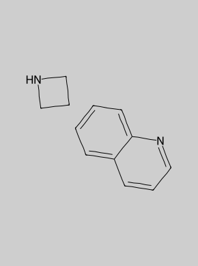 C1CNC1.c1ccc2ncccc2c1